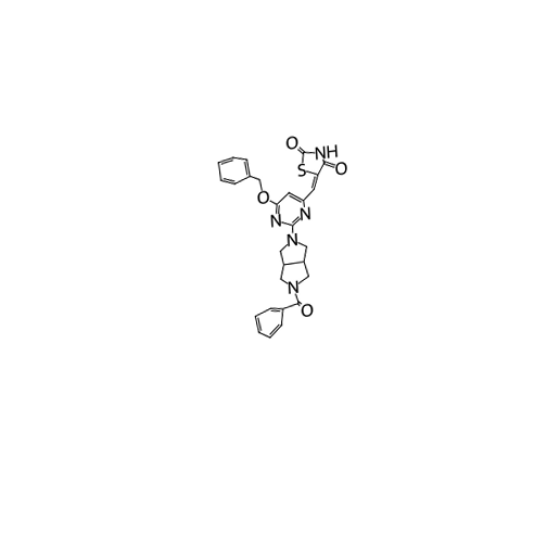 O=C1NC(=O)/C(=C/c2cc(OCc3ccccc3)nc(N3CC4CN(C(=O)c5ccccc5)CC4C3)n2)S1